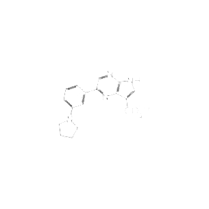 O=C(O)c1c[nH]c2ncc(-c3cccc(N4CCCC4)c3)nc12